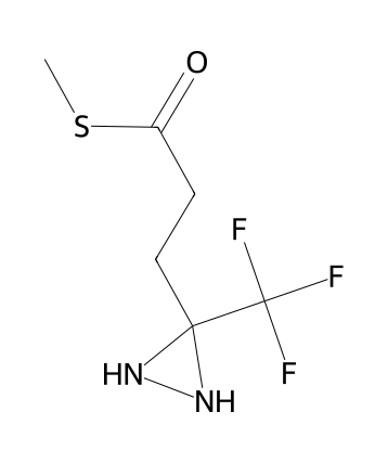 CSC(=O)CCC1(C(F)(F)F)NN1